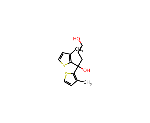 Cc1ccsc1C(O)(CCCO)c1sccc1C